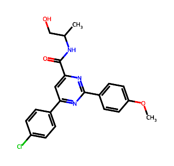 COc1ccc(-c2nc(C(=O)NC(C)CO)cc(-c3ccc(Cl)cc3)n2)cc1